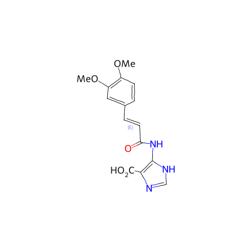 COc1ccc(/C=C/C(=O)Nc2[nH]cnc2C(=O)O)cc1OC